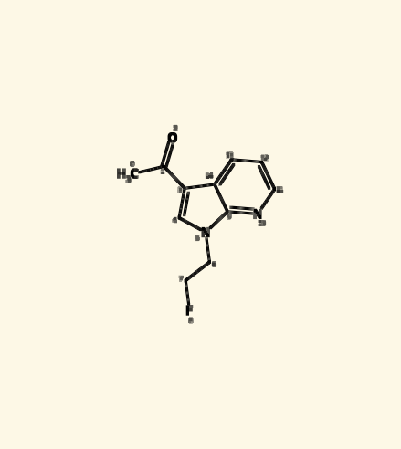 CC(=O)c1cn(CCF)c2ncccc12